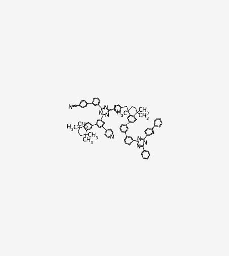 CC1(C)CCC(C)(C)c2cc(-c3cc(-c4ccncc4)cc(-c4nc(-c5ccc(CC6(C)CCC(C)(C)c7ccc(-c8cccc(-c9cccc(-c%10nc(-c%11ccccc%11)nc(-c%11ccc(-c%12ccccc%12)cc%11)n%10)c9)c8)cc76)cc5)nc(-c5cccc(-c6ccc(C#N)cc6)c5)n4)c3)ccc21